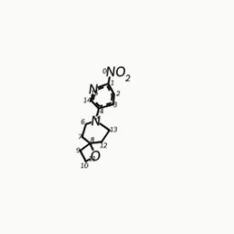 O=[N+]([O-])c1ccc(N2CCC3(CCO3)CC2)cn1